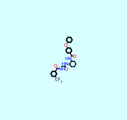 O=C(CNC(=O)c1cccc(C(F)(F)F)c1)N[C@H]1CCCC[C@H]1NC(=O)c1ccc(Oc2ccccc2)cc1